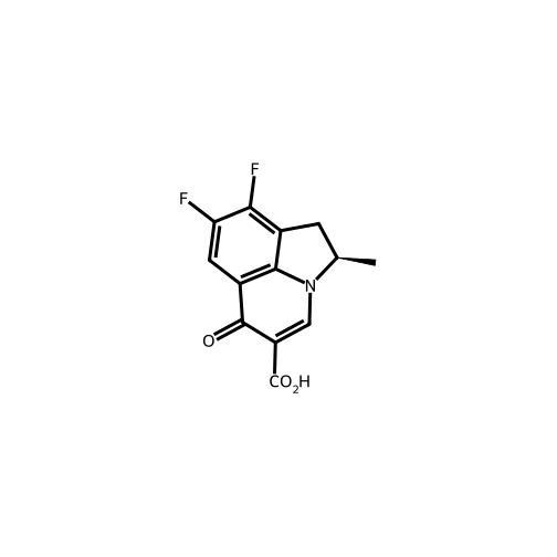 C[C@@H]1Cc2c(F)c(F)cc3c(=O)c(C(=O)O)cn1c23